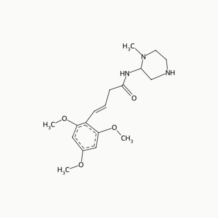 COc1cc(OC)c(C=CCC(=O)NC2CNCCN2C)c(OC)c1